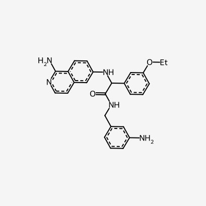 CCOc1cccc(C(Nc2ccc3c(N)nccc3c2)C(=O)NCc2cccc(N)c2)c1